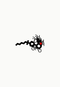 [2H]C([2H])([2H])C1(C([2H])([2H])[2H])Oc2cc(C(C)(C)CCCCCC)cc(O)c2[C@]2([2H])CC(=O)CC([2H])([2H])[C@@]12[2H]